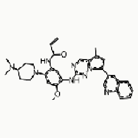 C=CC(=O)Nc1cc(Nc2ncc3c(C)cc(-c4cnc5ccccc5c4)n3n2)c(OC)cc1N1CCC(N(C)C)CC1